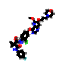 COc1nc2c(Oc3ccc(NC(=O)C4(C(=O)Nc5ccc(F)cc5)CC4)c(Cl)c3)ncnc2cc1OCCCN1CCOCC1